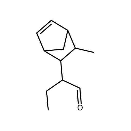 CCC(C=O)C1C2C=CC(C2)C1C